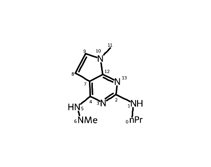 CCCNc1nc(NNC)c2ccn(C)c2n1